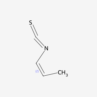 C/C=C\N=C=S